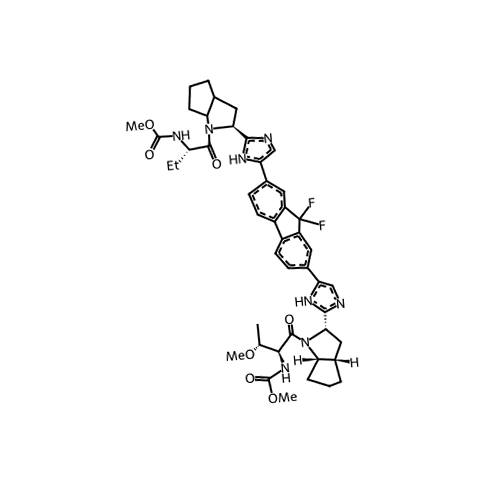 CC[C@H](NC(=O)OC)C(=O)N1C2CCCC2C[C@H]1c1ncc(-c2ccc3c(c2)C(F)(F)c2cc(-c4cnc([C@@H]5C[C@@H]6CCC[C@@H]6N5C(=O)[C@@H](NC(=O)OC)[C@@H](C)OC)[nH]4)ccc2-3)[nH]1